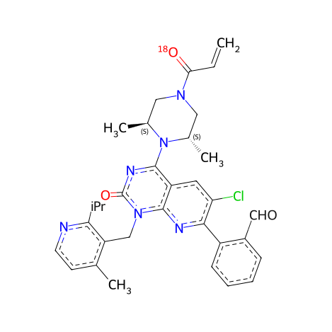 C=CC(=[18O])N1C[C@H](C)N(c2nc(=O)n(Cc3c(C)ccnc3C(C)C)c3nc(-c4ccccc4C=O)c(Cl)cc23)[C@@H](C)C1